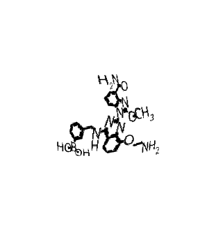 COc1nc2c(C(N)=O)cccc2n1-c1nc(NCc2cccc(B(O)O)c2)c2cccc(OCCN)c2n1